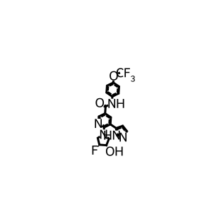 O=C(Nc1ccc(OC(F)(F)F)cc1)c1cnc(N2C[C@@H](O)[C@H](F)C2)c(-c2ccn[nH]2)c1